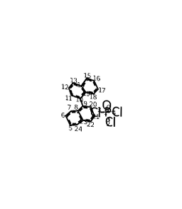 O=P(Cl)(Cl)Cl.c1ccc2c(-c3cccc4ccccc34)cccc2c1